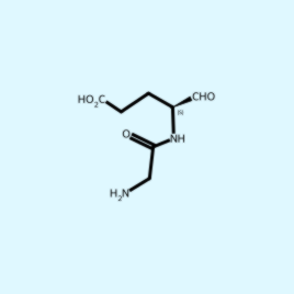 NCC(=O)N[C@H](C=O)CCC(=O)O